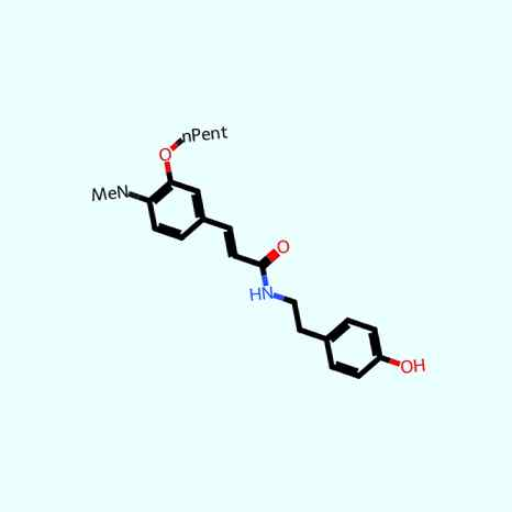 CCCCCOc1cc(C=CC(=O)NCCc2ccc(O)cc2)ccc1NC